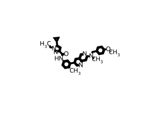 CCn1nc(C(=O)Nc2ccc(C)c(-c3cnc4cc(N(C)Cc5ccc(OC)cc5)ncc4c3)c2)cc1C1CC1